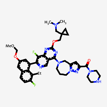 CCc1c(F)ccc2cc(OCOC)cc(-c3ncc4c(N5CCCn6nc(C(=O)N7CCNCC7)cc6C5)nc(OCC5(CN(C)C)CC5)nc4c3F)c12